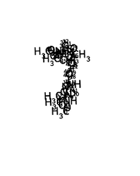 COC(=O)N[C@H](C(=O)N1CCC[C@H]1c1ncc(-c2ccc(-c3ccc([C@@H](C)NC(=O)C4CCCCC4CN(NC(=O)OC)C(C)C)cc3)cc2)[nH]1)C(C)C